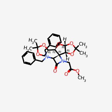 COC(=O)CN1C(=O)C(N(Cc2ccccc2)Cc2ccccc2)[C@]12[C@@H]([C@H]1COC(C)(C)O1)O[C@@H]1OC(C)(C)O[C@@H]12